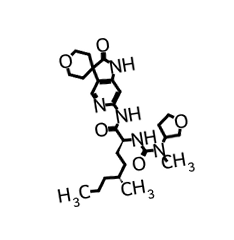 CCC[C@@H](C)CC[C@H](NC(=O)N(C)C1CCOC1)C(=O)Nc1cc2c(cn1)C1(CCOCC1)C(=O)N2